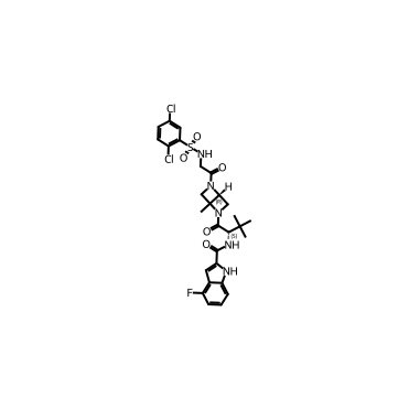 CC(C)(C)[C@H](NC(=O)c1cc2c(F)cccc2[nH]1)C(=O)N1C[C@H]2N(C(=O)CNS(=O)(=O)c3cc(Cl)ccc3Cl)CC21C